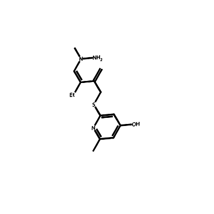 C=C(CSc1cc(O)cc(C)n1)/C(=C\N(C)N)CC